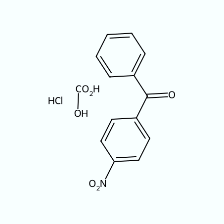 Cl.O=C(O)O.O=C(c1ccccc1)c1ccc([N+](=O)[O-])cc1